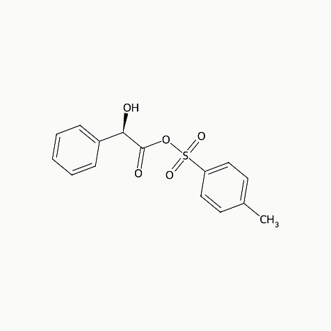 Cc1ccc(S(=O)(=O)OC(=O)[C@H](O)c2ccccc2)cc1